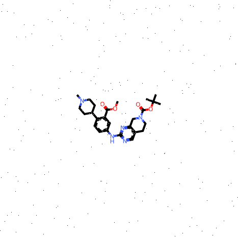 COC(=O)c1cc(Nc2ncc3c(n2)CN(C(=O)OC(C)(C)C)CC3)ccc1C1CCN(C)CC1